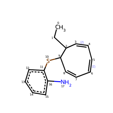 CCC1/C=C\C=C/C=CC1Sc1ccccc1N